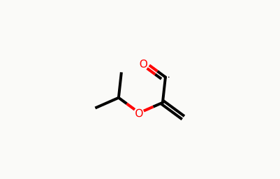 C=C([C]=O)OC(C)C